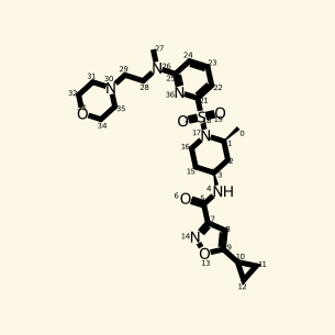 C[C@H]1C[C@@H](NC(=O)c2cc(C3CC3)on2)CCN1S(=O)(=O)c1cccc(N(C)CCN2CCOCC2)n1